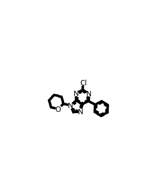 Clc1nc(-c2ccccc2)c2ncn(C3CCCCO3)c2n1